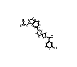 O=C(c1cccc(Cl)c1)N1CC2(CCN(c3cnc4cnn(CC(F)F)c4n3)C2)C1